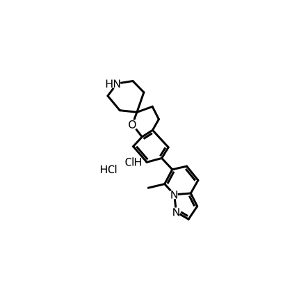 Cc1c(-c2ccc3c(c2)CCC2(CCNCC2)O3)ccc2ccnn12.Cl.Cl